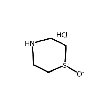 Cl.[O-][S+]1CCNCC1